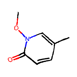 COn1cc(C)ccc1=O